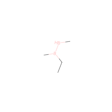 CBB(C)CC